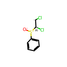 [O-][S+](c1ccccc1)[C@H](Cl)[CH]Cl